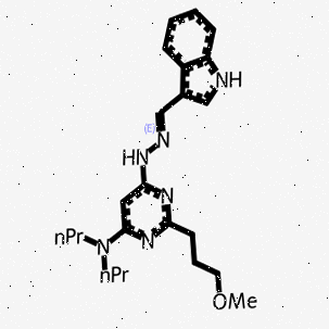 CCCN(CCC)c1cc(N/N=C/c2c[nH]c3ccccc23)nc(CCCOC)n1